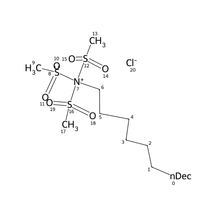 CCCCCCCCCCCCCCCC[N+](S(C)(=O)=O)(S(C)(=O)=O)S(C)(=O)=O.[Cl-]